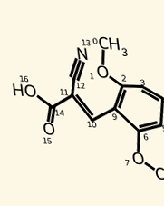 COc1cccc(OC)c1C=C(C#N)C(=O)O